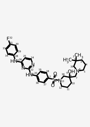 CC1(C)CCCN(CC2(O)CCCN(S(=O)(=O)c3ccc(Nc4nccc(Nc5ccc(F)cc5)n4)cc3)C2)C1